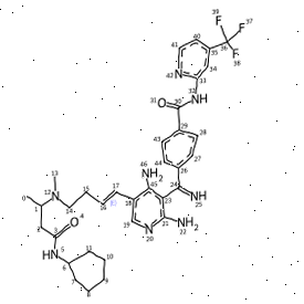 CC(CC(=O)NC1CCCCC1)N(C)CC/C=C/c1cnc(N)c(C(=N)c2ccc(C(=O)Nc3cc(C(F)(F)F)ccn3)cc2)c1N